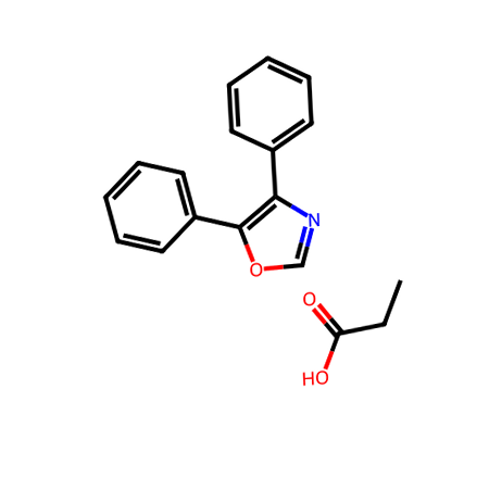 CCC(=O)O.c1ccc(-c2ncoc2-c2ccccc2)cc1